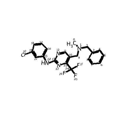 CN(Cc1ccccc1)Cc1cnc(Nc2cccc(Cl)c2)nc1C(F)(F)F